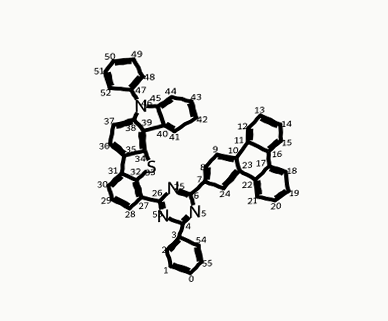 c1ccc(-c2nc(-c3ccc4c5ccccc5c5ccccc5c4c3)nc(-c3cccc4c3sc3c4ccc4c3c3ccccc3n4-c3ccccc3)n2)cc1